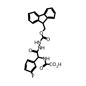 O=C(NNC(=O)C(NC(=O)C(=O)O)c1cccc(F)c1)OCC1c2ccccc2-c2ccccc21